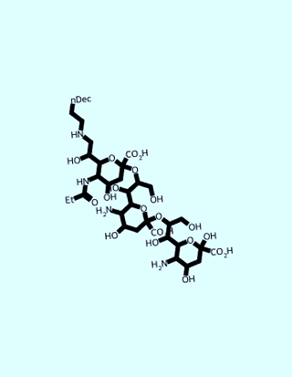 CCCCCCCCCCCCNCC(O)C1OC(OC(CO)C(O)C2OC(OC(CO)C(O)C3OC(O)(C(=O)O)CC(O)C3N)(C(=O)O)CC(O)C2N)(C(=O)O)CC(O)C1NC(=O)CC